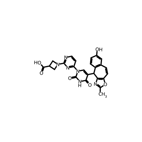 Cc1nc2c(o1)C=Cc1cc(O)ccc1C2c1cn(-c2ccnc(N3CC(C(=O)O)C3)n2)c(=O)[nH]c1=O